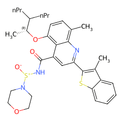 CCCC(CCC)[C@@H](C)Oc1ccc(C)c2nc(-c3sc4ccccc4c3C)cc(C(=O)N[S+]([O-])N3CCOCC3)c12